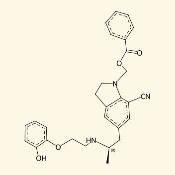 C[C@H](Cc1cc(C#N)c2c(c1)CCN2COC(=O)c1ccccc1)NCCOc1ccccc1O